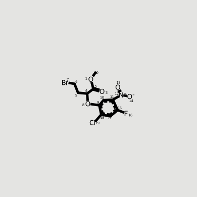 COC(=O)C(CCBr)Oc1cc([N+](=O)[O-])c(F)cc1Cl